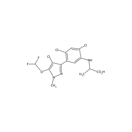 CC(Nc1cc(-c2nn(C)c(OC(F)F)c2Cl)c(Cl)cc1Cl)C(=O)O